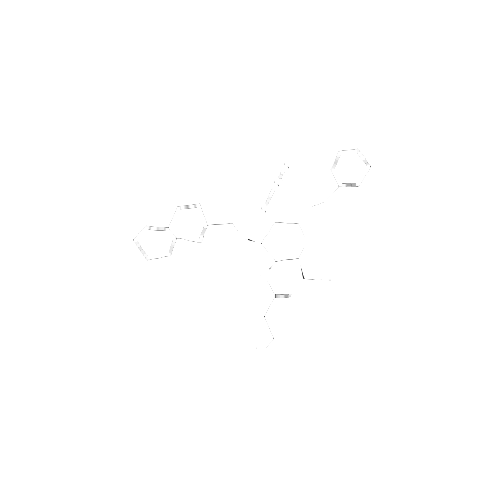 CC(=O)CCC(=O)O[C@H]1[C@@H](OCc2ccc3ccccc3c2)[C@H](N=[N+]=[N-])[C@H](OCc2ccccc2)O[C@H]1CO